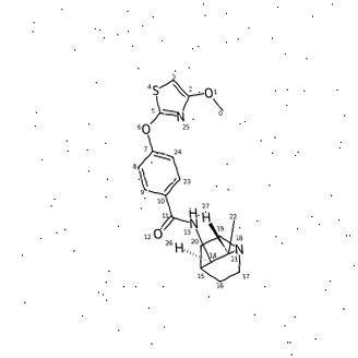 COc1csc(Oc2ccc(C(=O)N[C@@H]3C4CCN(CC4)[C@H]3C)cc2)n1